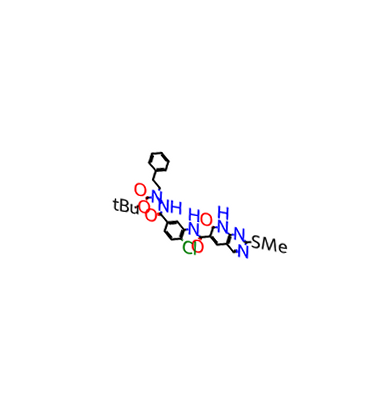 CSc1ncc2cc(C(=O)Nc3cc(C(=O)NN(CCc4ccccc4)C(=O)OC(C)(C)C)ccc3Cl)c(=O)[nH]c2n1